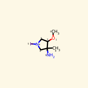 COC1CN(I)CC1(C)N